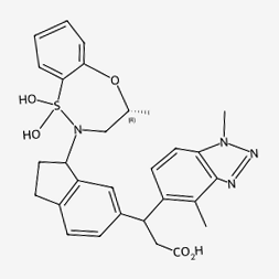 Cc1c(C(CC(=O)O)c2ccc3c(c2)C(N2C[C@@H](C)Oc4ccccc4S2(O)O)CC3)ccc2c1nnn2C